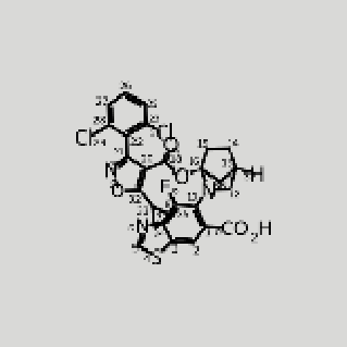 O=C(O)c1cc2scnc2c(F)c1N1C[C@H]2CC[C@]1(OC(=O)c1c(-c3c(Cl)cccc3Cl)noc1C1CC1)C2